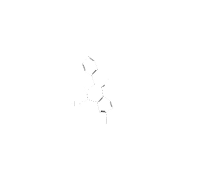 CC(OCc1ccccc1)c1cc(F)ccc1C=O